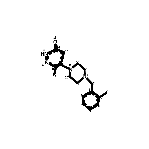 Cc1ccccc1CN1CCN(c2cc(=O)[nH]nc2C)CC1